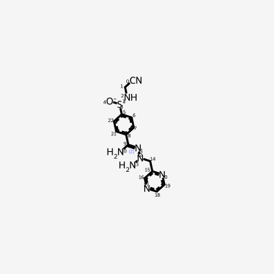 N#CCN[S+]([O-])c1ccc(/C(N)=N/N(N)Cc2cnccn2)cc1